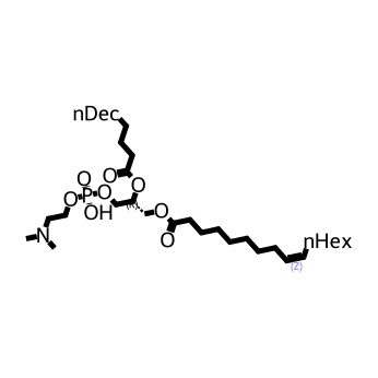 CCCCCC/C=C\CCCCCCCC(=O)OC[C@H](COP(=O)(O)OCCN(C)C)OC(=O)CCCCCCCCCCCCC